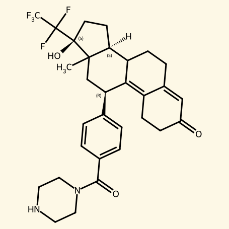 CC12C[C@H](c3ccc(C(=O)N4CCNCC4)cc3)C3=C4CCC(=O)C=C4CCC3[C@@H]1CC[C@@]2(O)C(F)(F)C(F)(F)F